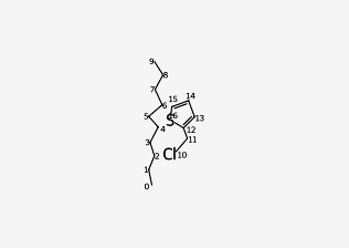 CCCCCCCCCC.ClCc1cccs1